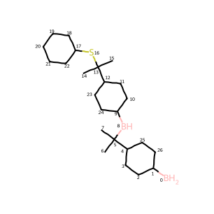 BC1CCC(C(C)(C)BC2CCC(C(C)(C)SC3CCCCC3)CC2)CC1